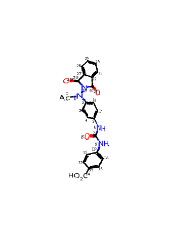 CC(=O)N(c1ccc(NC(=O)Nc2ccc(C(=O)O)cc2)cc1)N1C(=O)c2ccccc2C1=O